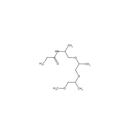 CCC(=O)NC(C)COC(C)COC(C)COC